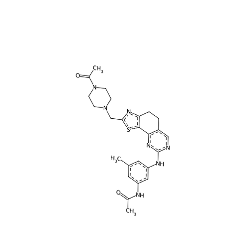 CC(=O)Nc1cc(C)cc(Nc2ncc3c(n2)-c2sc(CN4CCN(C(C)=O)CC4)nc2CC3)c1